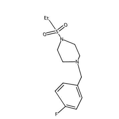 CCS(=O)(=O)N1CCN(Cc2ccc(F)cc2)CC1